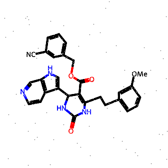 COc1cccc(CCC2=C(C(=O)OCc3cccc(C#N)c3)C(c3c[nH]c4cnccc34)NC(=O)N2)c1